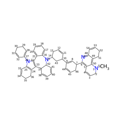 CN1CC=Cc2c(C3C=C(C4C=CCC(N5c6ccccc6-c6c(c7c(n6C6=CCCC=C6)C=CCC7)C6C=CC=CC65)C4)C=CC3)nc3c(c21)CCC=C3